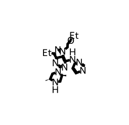 CCOCCn1nc(CC)c2nc(N3C[C@@H](C)NC[C@@H]3C)nc(Nc3ccncn3)c21